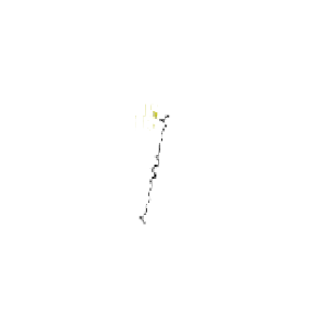 CCCCCCCCCCCCCCCCCC(C)C(S)S